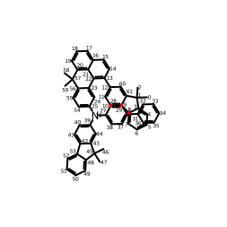 CC1(C)c2ccccc2-c2ccc(-c3ccc4cccc5c4c3-c3cc(N(c4ccc(-c6ccccc6)cc4)c4ccc6c(c4)C(C)(C)c4ccccc4-6)ccc3C5(C)C)cc21